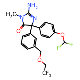 CN1C(=O)C(c2ccc(OC(F)F)cc2)(c2cccc(COCC(F)(F)F)c2)N=C1N